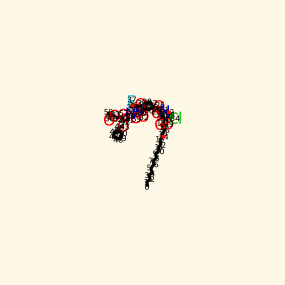 CCCCCCCCCCCCCCCCCC(=O)Oc1cc(OC(=O)c2cccc(C(=O)n3c(=O)c(F)cn([C@H]4C[C@H](OCc5ccccc5)[C@@H](COC(C)=O)O4)c3=O)c2)ncc1Cl